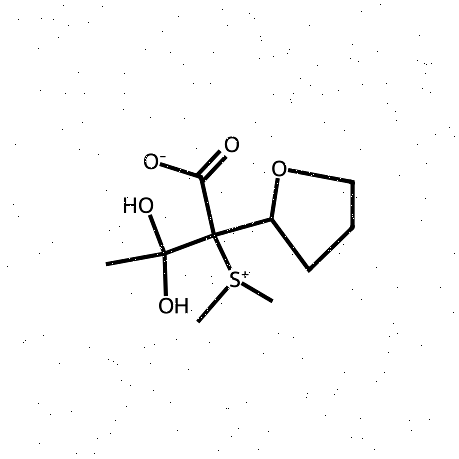 C[S+](C)C(C(=O)[O-])(C1CCCO1)C(C)(O)O